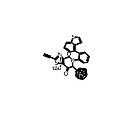 C#Cc1nc(C(=O)N(c2ccccc2-c2cccc3sccc23)C(C(=O)NC(C)(C)C)[C]23[CH]4[CH]5[CH]6[CH]2[Fe]56432789[CH]3[CH]2[CH]7[CH]8[CH]39)cs1